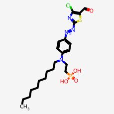 CCCCCCCCCCN(CCP(=O)(O)O)c1ccc(/N=N/c2nc(Cl)c(C=O)s2)cc1